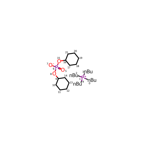 CCCC[P+](CCCC)(CCCC)CCCC.O=P([O-])(OC1CCCCC1)OC1CCCCC1